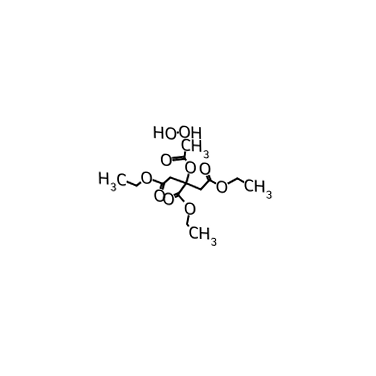 CCOC(=O)CC(CC(=O)OCC)(OC(C)=O)C(=O)OCC.OO